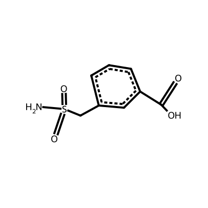 NS(=O)(=O)Cc1cccc(C(=O)O)c1